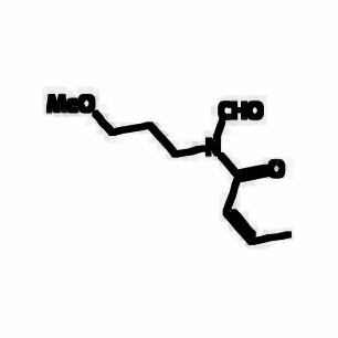 C/C=C\C(=O)N(C=O)CCCOC